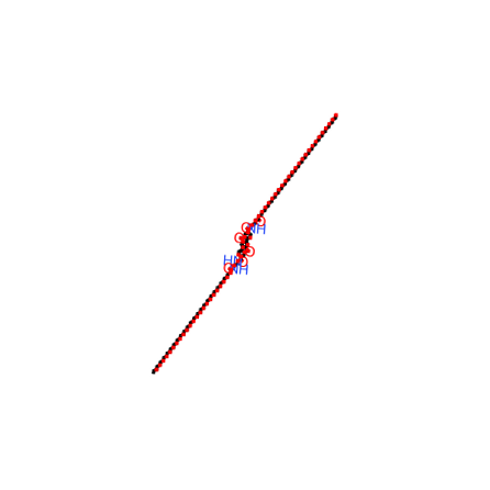 CCCCCCCCCCCCCCCCCCCCCCCCCCCCCCCCCCCCCCCCCCCCCCCC(=O)CCCNC(=O)c1ccc2c(c1)c(=O)c1cc3c(cc12)c(=O)c1cc(C(=O)NCCNC(=O)CCCCCCCCCCCCCCCCCCCCCCCCCCCCCCCCCCCCCCCCCCCCCCC)ccc13